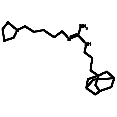 NC(=NCCCCCN1CCCC1)NCCCC12CC3CC(CC(C3)C1)C2